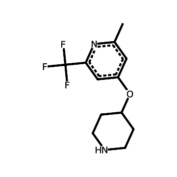 Cc1cc(OC2CCNCC2)cc(C(F)(F)F)n1